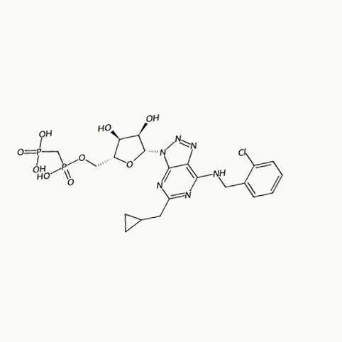 O=P(O)(O)CP(=O)(O)OC[C@H]1O[C@@H](n2nnc3c(NCc4ccccc4Cl)nc(CC4CC4)nc32)[C@H](O)[C@@H]1O